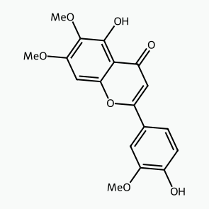 COc1cc(-c2cc(=O)c3c(O)c(OC)c(OC)cc3o2)ccc1O